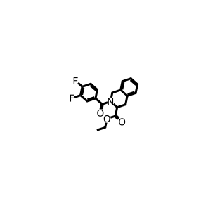 CCOC(=O)C1Cc2ccccc2CN1C(=O)c1ccc(F)c(F)c1